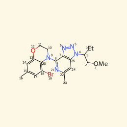 CCC(COC)n1nnc2c(N3CCOc4cc(C)cc(Br)c43)nc(C)cc21